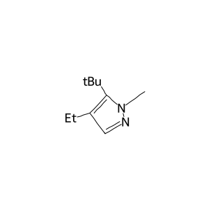 CCc1cnn(C)c1C(C)(C)C